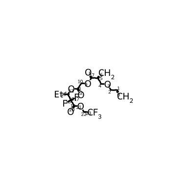 C=CCOCC(=C)C(=O)OCC(=O)OC(CC)C(F)(F)C(=O)OCC(F)(F)F